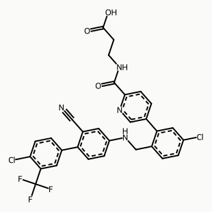 N#Cc1cc(NCc2ccc(Cl)cc2-c2ccc(C(=O)NCCC(=O)O)nc2)ccc1-c1ccc(Cl)c(C(F)(F)F)c1